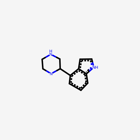 c1cc(C2CNCC[N]2)c2cc[nH]c2c1